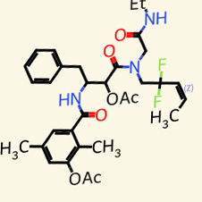 C/C=C\C(F)(F)CN(CC(=O)NCC)C(=O)C(OC(C)=O)C(Cc1ccccc1)NC(=O)c1cc(C)cc(OC(C)=O)c1C